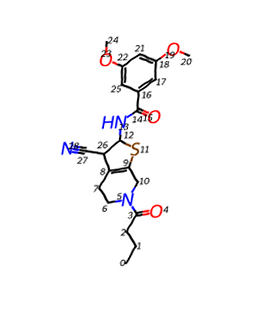 CCCC(=O)N1CCC2=C(C1)SC(NC(=O)c1cc(OC)cc(OC)c1)C2C#N